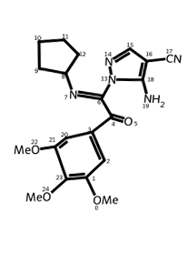 COc1cc(C(=O)/C(=N/C2CCCC2)n2ncc(C#N)c2N)cc(OC)c1OC